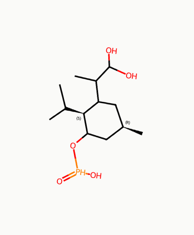 CC(C(O)O)C1C[C@@H](C)CC(O[PH](=O)O)[C@H]1C(C)C